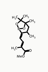 COC(=O)/C(C)=C/C=C1/B2OC(C)(C)C(C)(CC1C)O2